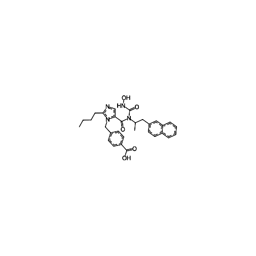 CCCCc1ncc(C(=O)N(C(=O)NO)C(C)Cc2ccc3ccccc3c2)n1Cc1ccc(C(=O)O)cc1